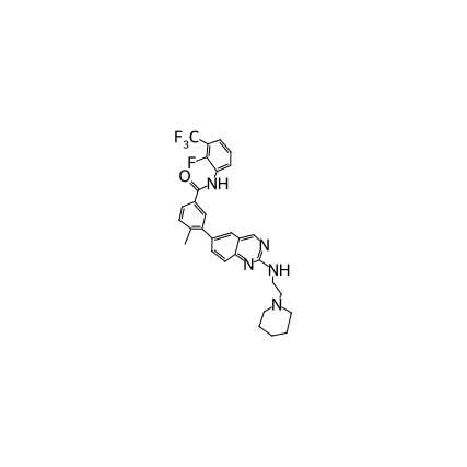 Cc1ccc(C(=O)Nc2cccc(C(F)(F)F)c2F)cc1-c1ccc2nc(NCCN3CCCCC3)ncc2c1